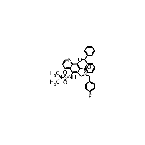 CN(C)S(=O)(=O)Nc1c2c(c(OC(c3ccccc3)c3ccccc3)c3ncccc13)C(=O)N(Cc1ccc(F)cc1)C2